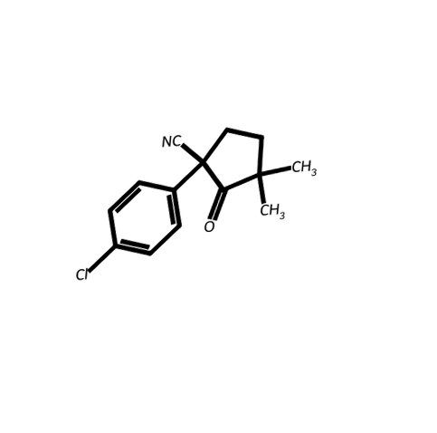 CC1(C)CCC(C#N)(c2ccc(Cl)cc2)C1=O